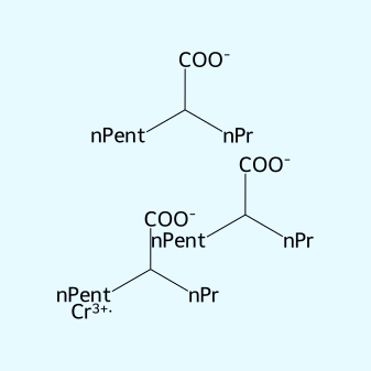 CCCCCC(CCC)C(=O)[O-].CCCCCC(CCC)C(=O)[O-].CCCCCC(CCC)C(=O)[O-].[Cr+3]